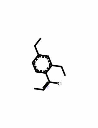 C/C=C(/Cl)c1ccc(CC)cc1CC